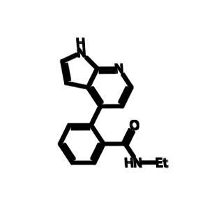 CCNC(=O)c1ccccc1-c1ccnc2[nH]ccc12